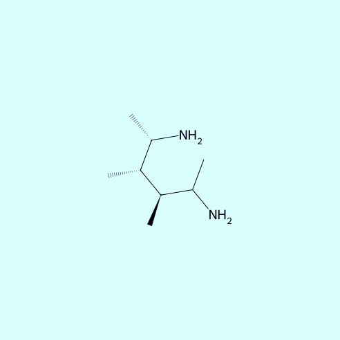 CC(N)[C@@H](C)[C@H](C)[C@H](C)N